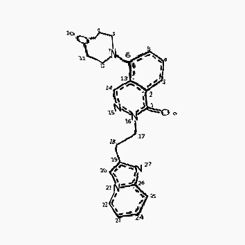 O=c1c2cccc(N3CCOCC3)c2cnn1CCc1cn2ccccc2n1